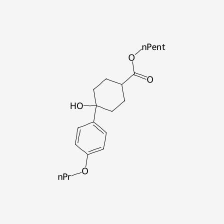 CCCCCOC(=O)C1CCC(O)(c2ccc(OCCC)cc2)CC1